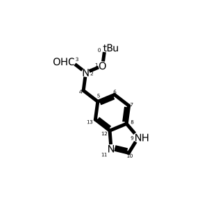 CC(C)(C)ON(C=O)Cc1ccc2[nH]cnc2c1